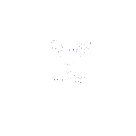 CCN(N[C@H](CC(=O)O)Cc1c[nH]c2ccccc12)[C@@H](Cc1ccccc1)CN(C)C(=O)c1cc(OC)c(OC)c(OC)c1